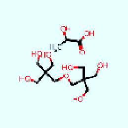 CC(O)C(=O)O.OCC(CO)(CO)COCC(CO)(CO)CO